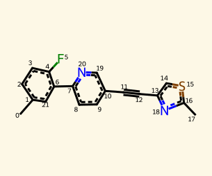 Cc1ccc(F)c(-c2ccc(C#Cc3csc(C)n3)cn2)c1